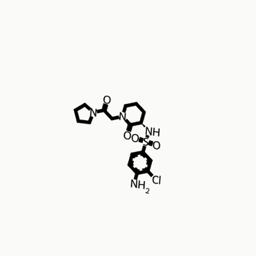 Nc1ccc(S(=O)(=O)N[C@H]2CCCN(CC(=O)N3CCCC3)C2=O)cc1Cl